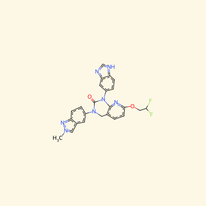 Cn1cc2cc(N3Cc4ccc(OCC(F)F)nc4N(c4ccc5[nH]cnc5c4)C3=O)ccc2n1